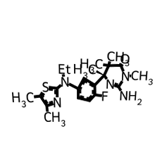 CCN(c1ccc(F)c([C@@]2(C)N=C(N)N(C)C(=O)C2(C)C)c1)c1nc(C)c(C)s1